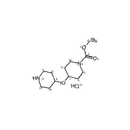 CC(C)(C)OC(=O)N1CCC(OC2CCNCC2)CC1.Cl